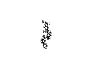 CCN(CC)Cc1ccc(C(=O)Nc2cc(NC(=O)c3cncc(N4CCOCC4)c3)ccc2C)cc1